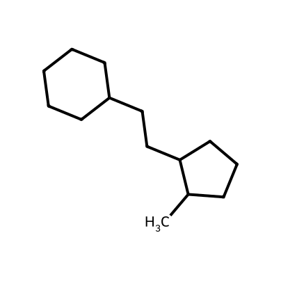 CC1CCCC1CCC1CCCCC1